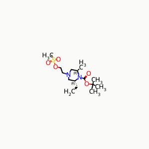 C=C[C@@H]1CN(CCOS(C)(=O)=O)C[C@@H](C)N1C(=O)OC(C)(C)C